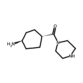 N[C@H]1CC[C@H](C(=O)N2CCNCC2)CC1